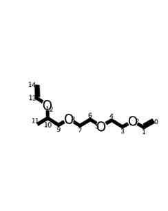 C=COCCOCCOCC(C)OC=C